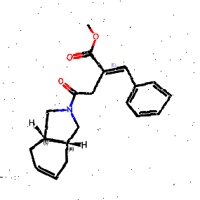 COC(=O)/C(=C/c1ccccc1)CC(=O)N1C[C@H]2CC=CC[C@H]2C1